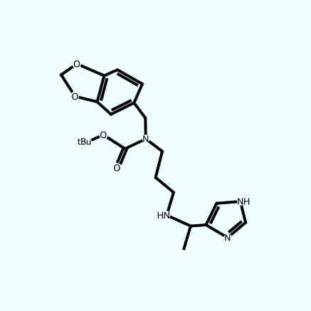 CC(NCCCN(Cc1ccc2c(c1)OCO2)C(=O)OC(C)(C)C)c1c[nH]cn1